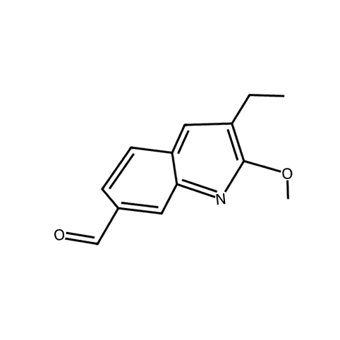 CCc1cc2ccc(C=O)cc2nc1OC